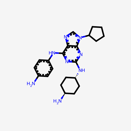 Nc1ccc(Nc2nc(N[C@H]3CC[C@H](N)CC3)nc3c2ncn3C2CCCC2)cc1